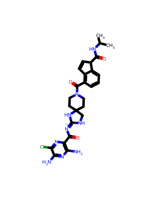 CC(C)NC(=O)C1C=Cc2c(C(=O)N3CCC4(CC3)CN/C(=N\C(=O)c3nc(Cl)c(N)nc3N)N4)cccc21